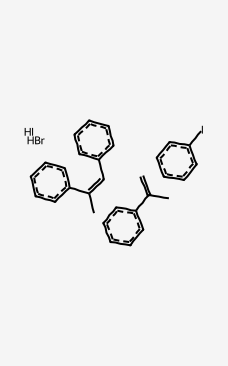 Br.C=C(C)c1ccccc1.CC(=Cc1ccccc1)c1ccccc1.I.Ic1ccccc1